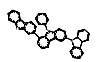 C1=CC2c3ccccc3N(c3ccc4c(c3)c3cccc(-c5ccc6c(c5)oc5ccccc56)c3n4-c3ccccc3)C2C=C1